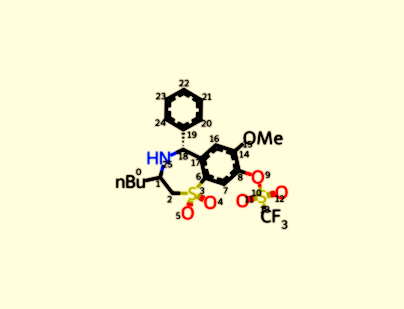 CCCCC1CS(=O)(=O)c2cc(OS(=O)(=O)C(F)(F)F)c(OC)cc2[C@@H](c2ccccc2)N1